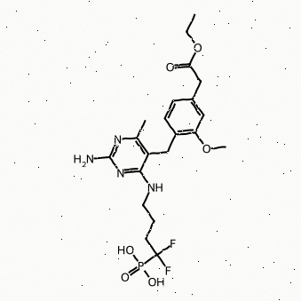 CCOC(=O)Cc1ccc(Cc2c(C)nc(N)nc2NCCCC(F)(F)P(=O)(O)O)c(OC)c1